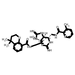 Cc1cccnc1C(=O)NC[C@@H]1NC(=N)N2CC(NC(=O)c3cccc4c3OCCC4(C)C)[C@@H](O)[C@@]23NC(=N)N[C@@H]13